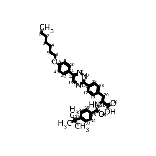 CCCCCCCOc1ccc(-c2cnc(-c3ccc(CC(NC(=O)c4ccc(C(C)(C)C)cc4)C(=O)O)cc3)nn2)cc1